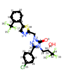 O=c1n(Cc2ncc(-c3ccccc3C(F)(F)F)s2)nc(-c2ccc(Cl)cc2)n1C[C@H](O)C(F)(F)F